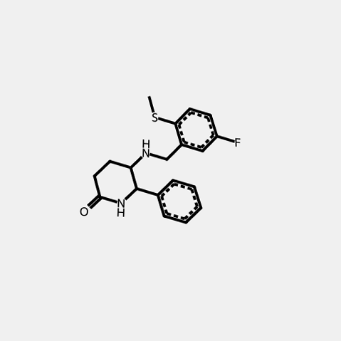 CSc1ccc(F)cc1CNC1CCC(=O)NC1c1ccccc1